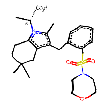 Cc1c(Cc2ccccc2S(=O)(=O)N2CCOCC2)c2c(n1[C@H](C)C(=O)O)CCC(C)(C)C2